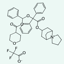 O=C(OC(OC(C(=O)OC1CC2CCC(C1)[N+]21CCCC1)(c1ccccc1)c1ccccc1)c1ccccc1)C1CCOCC1.O=C([O-])C(F)(F)F